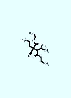 CCCC(C#N)(C(=O)OCC)C(C(=O)OCC)C(C)C